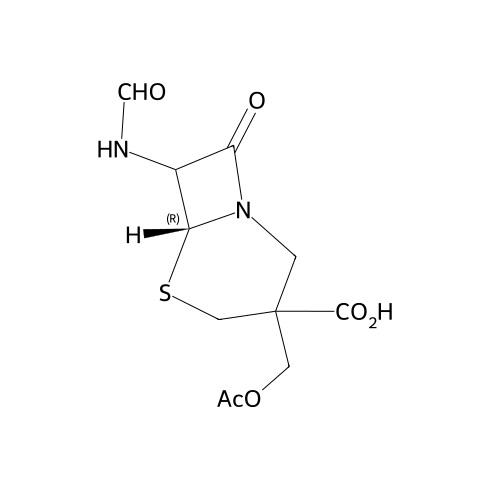 CC(=O)OCC1(C(=O)O)CS[C@@H]2C(NC=O)C(=O)N2C1